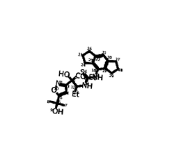 CCOC(=O)C(O)(c1cc(C(C)(C)O)on1)C(CC)NC(=S)Nc1c2c(cc3c1CCC3)CCC2